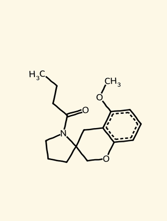 CCCC(=O)N1CCCC12COc1cccc(OC)c1C2